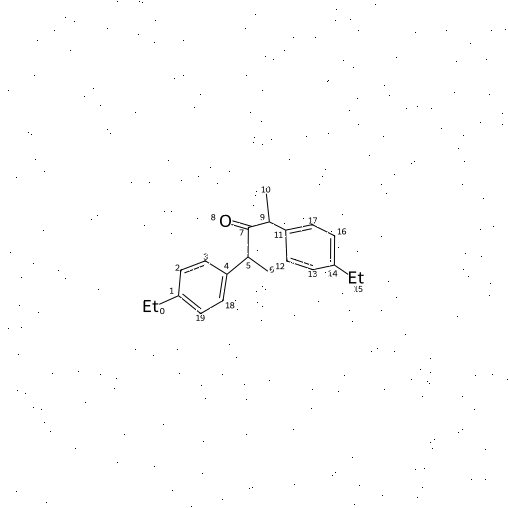 CCc1ccc(C(C)C(=O)C(C)c2ccc(CC)cc2)cc1